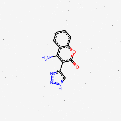 Nc1c(-c2c[nH]nn2)c(=O)oc2ccccc12